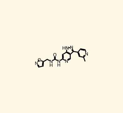 Cc1cc(-c2n[nH]c3cc(NC(=O)NCc4ccno4)ncc23)ccn1